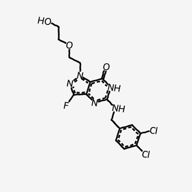 O=c1[nH]c(NCc2ccc(Cl)c(Cl)c2)nc2c(F)nn(CCOCCO)c12